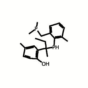 CCC(C)(Pc1c(C)cccc1CP(C)C)c1cc(C)ccc1O